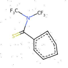 FC(F)(F)N(C(=S)c1ccccc1)C(F)(F)F